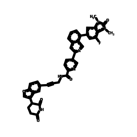 Cn1c(=O)n(C)c2c(F)cc(-c3cccc4cc(-c5ccc(C(=O)NCC#Cc6ccc7occ(C8CCC(=O)NC8=O)c7c6)nc5)ncc34)cc21